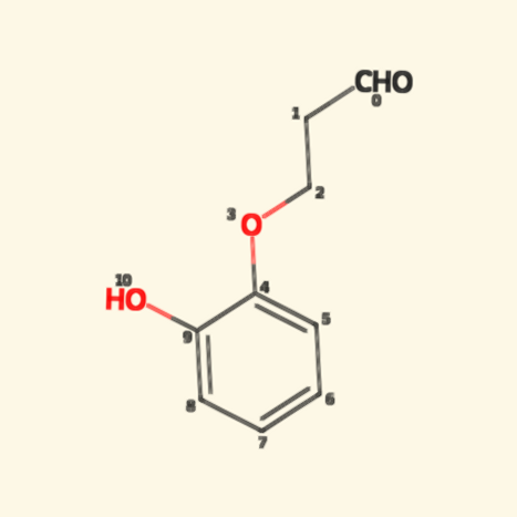 O=CCCOc1ccccc1O